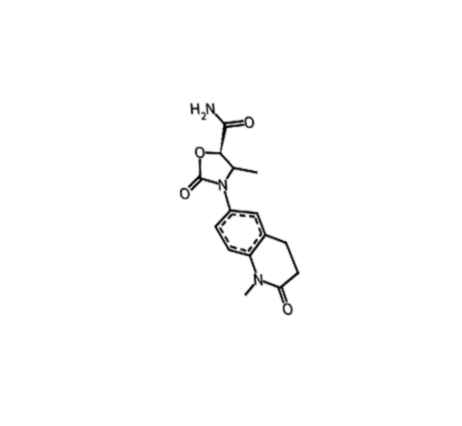 CC1[C@H](C(N)=O)OC(=O)N1c1ccc2c(c1)CCC(=O)N2C